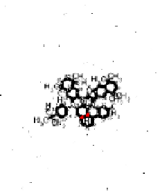 CC1=CC2N(c3ccc(C(C)(C)C)cc3)c3cc4c(cc3B3c5oc6cc7c(cc6c5N(c5cc(C)ccc5-c5ccccc5)C(=C1)C32C)C(C)(C)CCC7(C)C)C(C)(C)CCC4(C)C